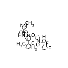 Cc1cccc(C)c1-c1cc(OC2CCN(C(=O)C(O)c3cccc(F)c3F)C2)nc(NS(=O)(=O)c2cnn(C)c2)n1